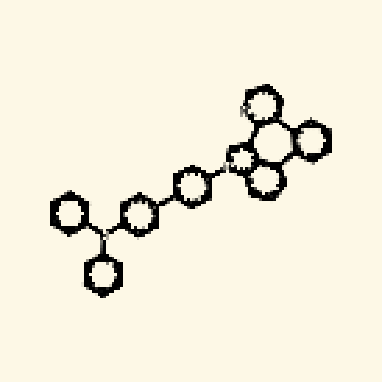 c1ccc(N(c2ccccc2)c2ccc(-c3ccc(-n4cc5c6c(cccc64)-c4ccccc4-c4cccnc4-5)cc3)cc2)cc1